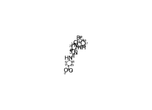 COC(=O)[C@H]1CC[C@H](NCc2nc3c(Nc4cccc(Br)c4Cl)nccc3s2)CC1